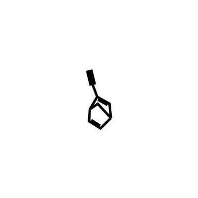 [C]#CC1=CC2C=CC1C2